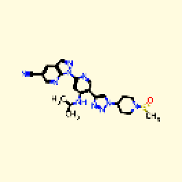 CC(C)Nc1cc(-n2ncc3cc(C#N)cnc32)ncc1-c1cn(C2CCN([S+](C)[O-])CC2)nn1